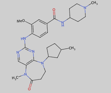 COc1cc(C(=O)NC2CCN(C)CC2)ccc1Nc1ncc2c(n1)N(C1CCC(C)C1)CCC(=O)N2C